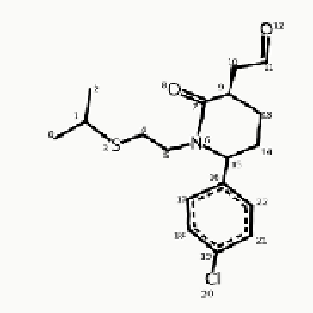 CC(C)SCCN1C(=O)[C@@H](CC=O)CCC1c1ccc(Cl)cc1